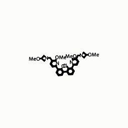 COc1nc(-c2cccc(-c3cccc(-c4ccc(CN5CC(OC)C5)c(OC)n4)c3Cl)c2Cl)ccc1CN1CC(OC)C1